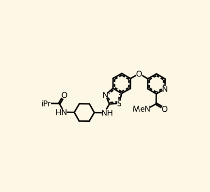 CNC(=O)c1cc(Oc2ccc3nc(NC4CCC(NC(=O)C(C)C)CC4)sc3c2)ccn1